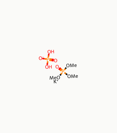 COP(=O)(OC)OC.O=P([O-])(O)O.[K+]